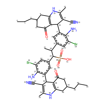 CCCC1CC(=O)C2=C(C1)NC(C)=C(C#N)C2c1cc(C(C)C(c2cc(Br)c(N)c(C3C(C#N)=C(C)NC4=C3C(=O)CC(CCC)C4)c2)S(=O)(=O)O)cc(Br)c1N